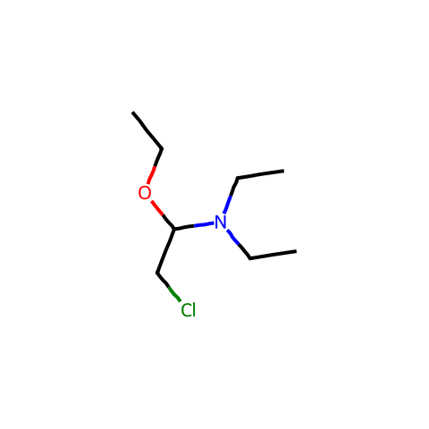 CCOC(CCl)N(CC)CC